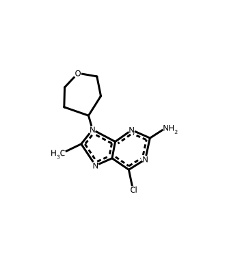 Cc1nc2c(Cl)nc(N)nc2n1C1CCOCC1